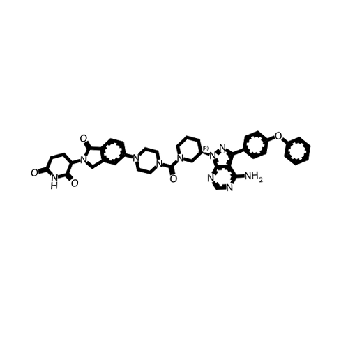 Nc1ncnc2c1c(-c1ccc(Oc3ccccc3)cc1)nn2[C@@H]1CCCN(C(=O)N2CCN(c3ccc4c(c3)CN(C3CCC(=O)NC3=O)C4=O)CC2)C1